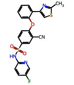 Cc1nc(-c2ccccc2Oc2ccc(S(=O)(=O)Nc3ccc(F)cn3)cc2C#N)cs1